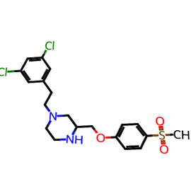 CS(=O)(=O)c1ccc(OCC2CN(CCc3cc(Cl)cc(Cl)c3)CCN2)cc1